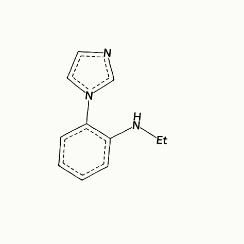 CCNc1ccccc1-n1ccnc1